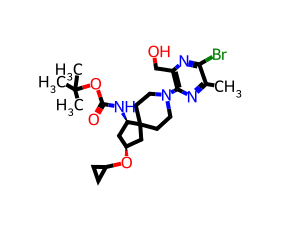 Cc1nc(N2CCC3(CC2)C[C@@H](OC2CC2)C[C@H]3NC(=O)OC(C)(C)C)c(CO)nc1Br